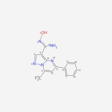 N/C(=N\O)c1cnn2c(C(F)(F)F)cc(-c3ccccc3)nc12